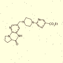 CCOC(=O)c1ccc(N2CCN(Cc3cnc4c(c3)NC(=O)C3CCCN43)CC2)nc1